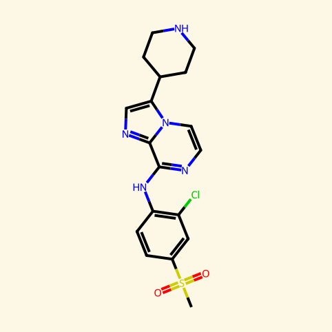 CS(=O)(=O)c1ccc(Nc2nccn3c(C4CCNCC4)cnc23)c(Cl)c1